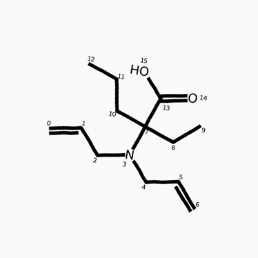 C=CCN(CC=C)C(CC)(CCC)C(=O)O